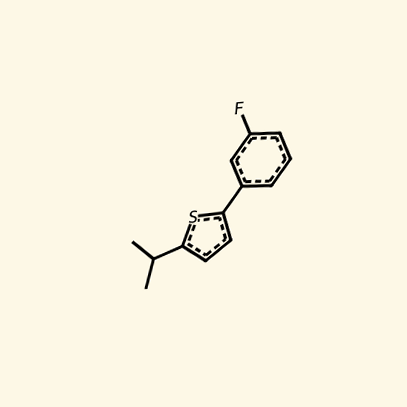 CC(C)c1ccc(-c2cccc(F)c2)s1